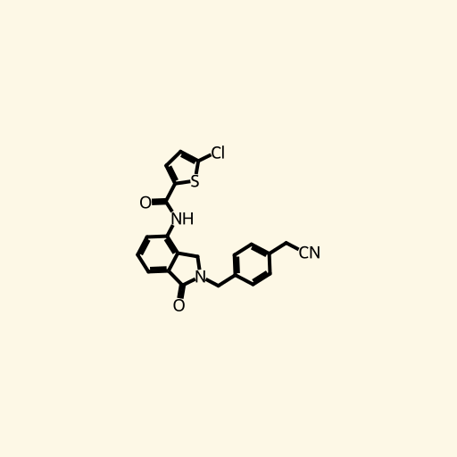 N#CCc1ccc(CN2Cc3c(NC(=O)c4ccc(Cl)s4)cccc3C2=O)cc1